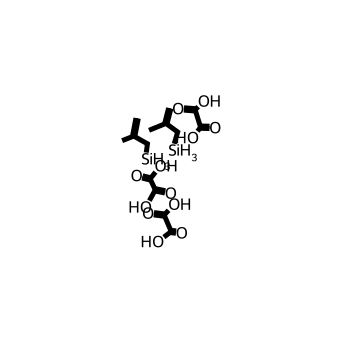 C=C(C)C[SiH3].C=C(C)C[SiH3].O=C(O)C(=O)O.O=C(O)C(=O)O.O=C(O)C(=O)O